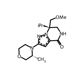 COC[C@]1(C(C)C)CNC(=O)c2cc(N3CCOC[C@H]3C)nn21